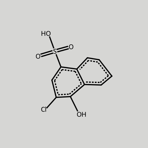 O=S(=O)(O)c1cc(Cl)c(O)c2ccccc12